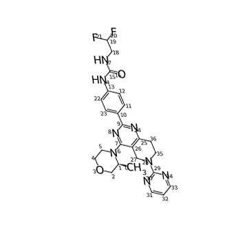 C[C@H]1COCCN1c1nc(-c2ccc(NC(=O)NCC(F)F)cc2)nc2c1CN(c1ncccn1)CC2